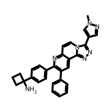 Cn1cc(-c2nnc3c4cc(-c5ccccc5)c(-c5ccc(C6(N)CCC6)cc5)nc4ccn23)cn1